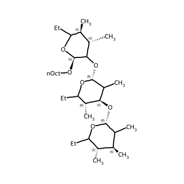 CCCCCCCCO[C@H]1OC(CC)[C@@H](C)[C@H](C)C1O[C@H]1OC(CC)[C@@H](C)[C@H](O[C@H]2OC(CC)[C@@H](C)[C@H](C)C2C)C1C